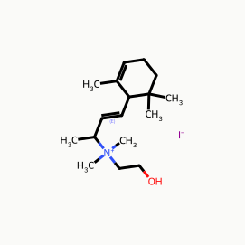 CC1=CCCC(C)(C)C1/C=C/C(C)[N+](C)(C)CCO.[I-]